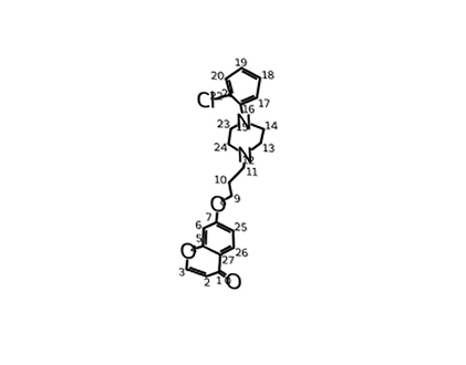 O=c1ccoc2cc(OCCCN3CCN(c4ccccc4Cl)CC3)ccc12